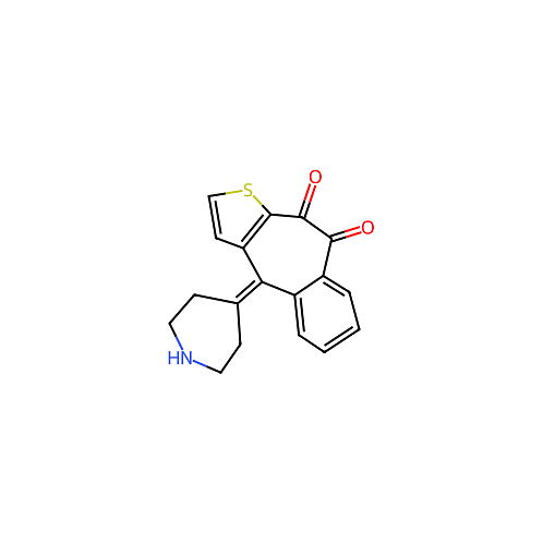 O=C1C(=O)c2sccc2C(=C2CCNCC2)c2ccccc21